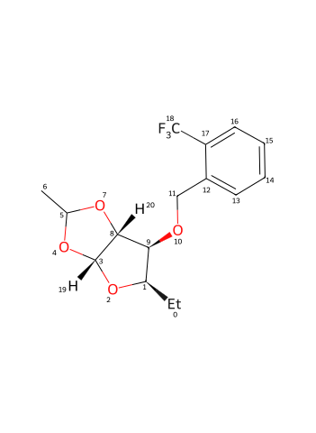 CC[C@H]1O[C@@H]2OC(C)O[C@@H]2[C@H]1OCc1ccccc1C(F)(F)F